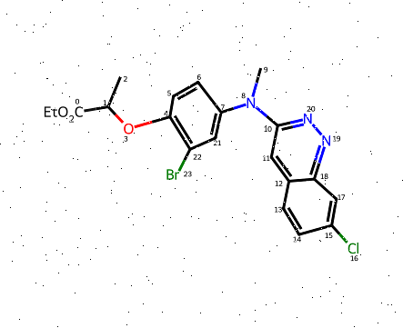 CCOC(=O)C(C)Oc1ccc(N(C)c2cc3ccc(Cl)cc3nn2)cc1Br